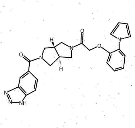 O=C(COc1ccccc1-n1cccc1)N1C[C@H]2CN(C(=O)c3ccc4[nH]nnc4c3)C[C@@H]2C1